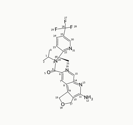 CC(C)N(C(=O)c1cc2c3c(c(N)nc2cn1)COC3)[C@H](C)c1ccc(C(F)(F)F)cn1